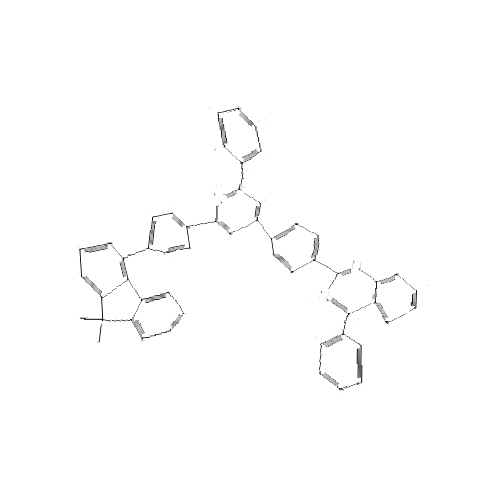 CC1(C)c2ccccc2-c2c(-c3ccc(-c4cc(-c5ccc(-c6nc(-c7ccccc7)c7ccccc7n6)cc5)cc(-c5ccccc5)n4)cc3)cccc21